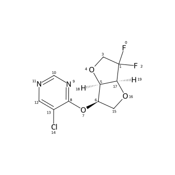 FC1(F)CO[C@@H]2[C@H](Oc3ncncc3Cl)CO[C@@H]21